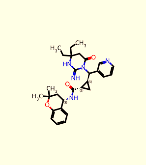 CCC1(CC)CC(=O)N(C(c2cccnc2)[C@H]2C[C@@H]2C(=O)N[C@H]2CC(C)(C)Oc3ccccc32)C(=N)N1